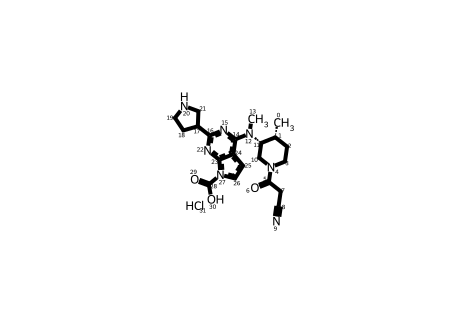 C[C@@H]1CCN(C(=O)CC#N)C[C@@H]1N(C)c1nc(C2CCNC2)nc2c1ccn2C(=O)O.Cl